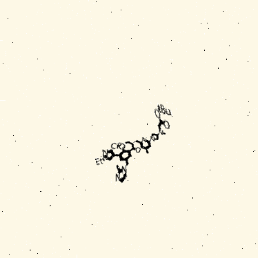 CCn1cc(-c2cc(Cn3ccnc3C)cc3c2OC[C@H](Cc2cc(C)cc(N4CC(N(C)CC(=O)OC(C)(C)C)C4)n2)C3=O)c(C(F)(F)F)n1